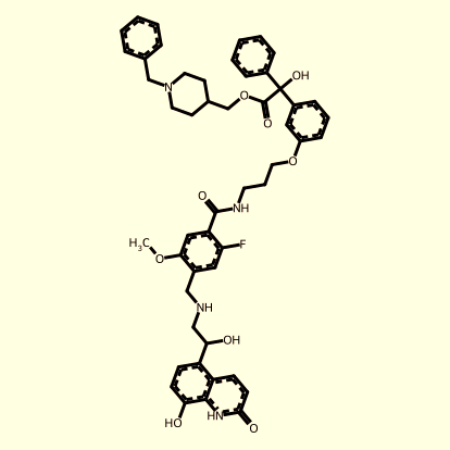 COc1cc(C(=O)NCCCOc2cccc(C(O)(C(=O)OCC3CCN(Cc4ccccc4)CC3)c3ccccc3)c2)c(F)cc1CNCC(O)c1ccc(O)c2[nH]c(=O)ccc12